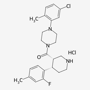 Cc1ccc([C@H]2CCNC[C@H]2C(=O)N2CCN(c3cc(Cl)ccc3C)CC2)c(F)c1.Cl